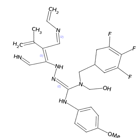 C=C/N=C\C(C(=C)C)=C(\C=N)N/N=C(/Nc1ccc(OC)cc1)N(CO)CC1C=C(F)C(F)=C(F)C1